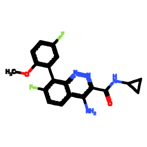 COc1ccc(F)cc1-c1c(F)ccc2c(N)c(C(=O)NC3CC3)nnc12